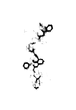 C[C@H](NC(=O)c1c(N)nn2cccnc12)c1cc2cccc(C#Cc3cnn(CCOC(=O)[C@H](N)Cc4cn(C)c5ccccc45)c3)c2c(=O)n1-c1ccccc1